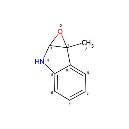 CC12OC1Nc1ccccc12